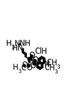 COC(=O)[C@@H]1[C@@H](CCCCNC(=N)N)C(=O)N1S(=O)(=O)c1cccc2c(N(C)C)cccc12.Cl